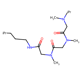 CC(C)CCCNC(=O)CN(C)C(=O)CN(C)C(=O)CN(C)C(C)C